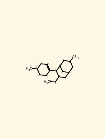 CCC1CC2CC(C)CC(C2)C1C1=CCC(C)CC1